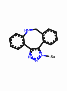 CC(C)(C)n1nnc2c1-c1ccccc1CNc1ccccc1-2